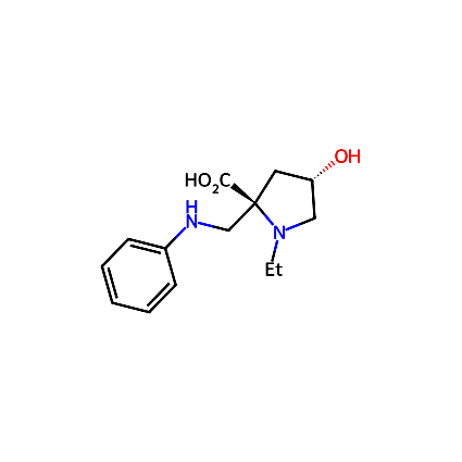 CCN1C[C@@H](O)C[C@]1(CNc1ccccc1)C(=O)O